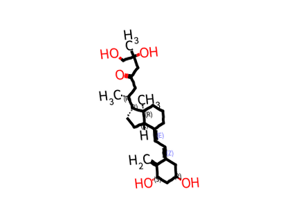 C=C1/C(=C\C=C2/CCC[C@]3(C)[C@@H]([C@H](C)CC(=O)CC(C)(O)CO)CC[C@@H]23)C[C@@H](O)C[C@@H]1O